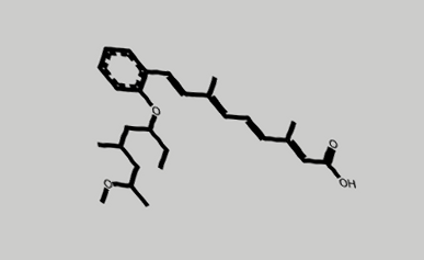 CCC(CC(C)CC(C)OC)Oc1ccccc1/C=C/C(C)=C/C=C/C(C)=C/C(=O)O